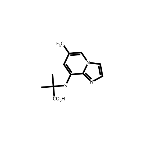 CC(C)(Sc1cc(C(F)(F)F)cn2ccnc12)C(=O)O